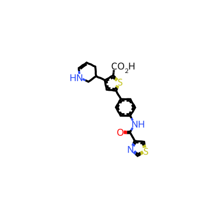 O=C(Nc1ccc(-c2cc(C3CC=CNC3)c(C(=O)O)s2)cc1)c1cscn1